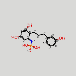 O=P(O)(O)N=C1C=C(O)C=C(O)C1CCCc1cccc(O)c1